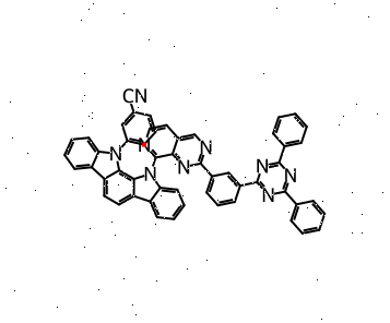 N#Cc1cccc(-n2c3ccccc3c3ccc4c5ccccc5n(-c5nccc6cnc(-c7cccc(-c8nc(-c9ccccc9)nc(-c9ccccc9)n8)c7)nc56)c4c32)c1